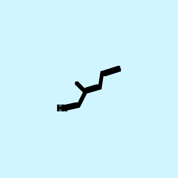 C=C/C=C(\C)C=N